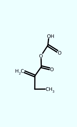 C=C(CC)C(=O)OC(=O)O